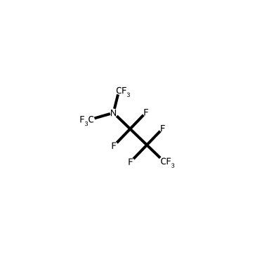 FC(F)(F)N(C(F)(F)F)C(F)(F)C(F)(F)C(F)(F)F